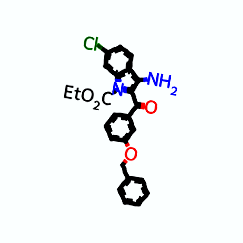 CCOC(=O)n1c(C(=O)c2cccc(OCc3ccccc3)c2)c(N)c2ccc(Cl)cc21